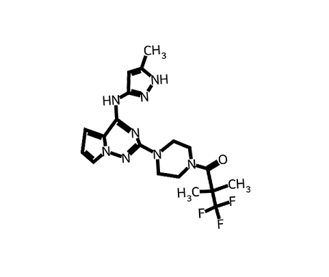 Cc1cc(Nc2nc(N3CCN(C(=O)C(C)(C)C(F)(F)F)CC3)nn3cccc23)n[nH]1